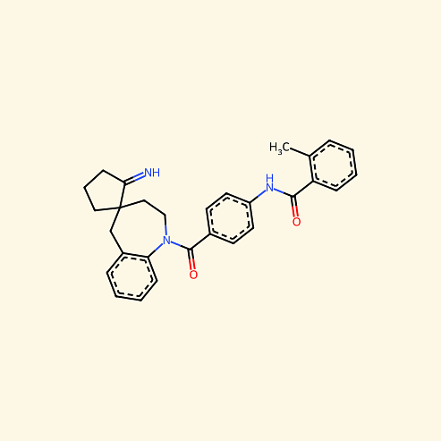 Cc1ccccc1C(=O)Nc1ccc(C(=O)N2CCC3(CCCC3=N)Cc3ccccc32)cc1